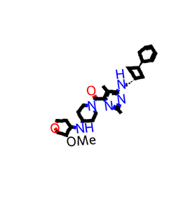 CO[C@@H]1COCCC1NC1CCN(C(=O)c2nc(C)nc(NC[C@H]3C[C@H](C4C=CC=CC4)C3)c2C)CC1